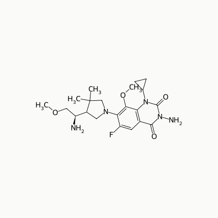 COC[C@H](N)C1CN(c2c(F)cc3c(=O)n(N)c(=O)n(C4CC4)c3c2OC)CC1(C)C